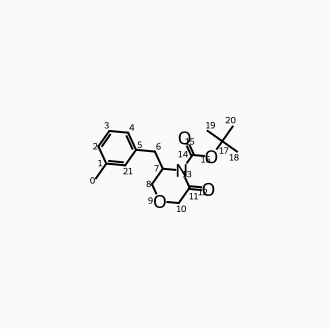 Cc1cccc(CC2COCC(=O)N2C(=O)OC(C)(C)C)c1